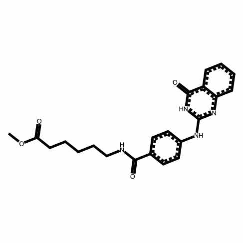 COC(=O)CCCCCNC(=O)c1ccc(Nc2nc3ccccc3c(=O)[nH]2)cc1